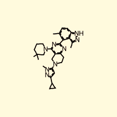 Cc1ccc2[nH]nc(C)c2c1-c1nc2c(c(N3CCCC(C)(C)C3)n1)CN(c1cc(C3CC3)nn1C)CC2